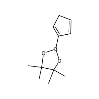 CC1(C)OB(C2=CCC=C2)OC1(C)C